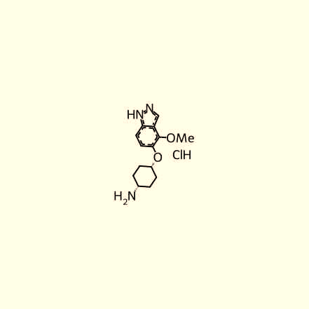 COc1c(O[C@H]2CC[C@@H](N)CC2)ccc2[nH]ncc12.Cl